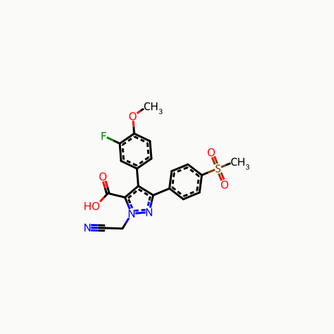 COc1ccc(-c2c(-c3ccc(S(C)(=O)=O)cc3)nn(CC#N)c2C(=O)O)cc1F